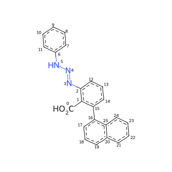 O=C(O)c1c(N=NNc2ccccc2)cccc1-c1cccc2ccccc12